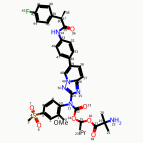 COc1cc(S(C)(=O)=O)ccc1N(C(=O)OC(OC(=O)C(C)(C)N)C(C)C)c1nc2ccc(-c3ccc(NC(=O)[C@H](C)c4ccc(F)cc4)cc3)cn2n1